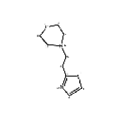 c1csc(CCN2CCOCC2)n1